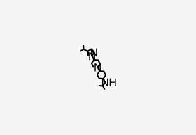 CC(C)NC1CCC(N2CCC(n3cc(C(C)C)cn3)CC2)CC1